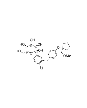 COCC1(Oc2ccc(Cc3cc([C@]4(O)O[C@H](CO)[C@@H](O)[C@H](O)[C@H]4O)ccc3Cl)cc2)CCCC1